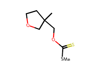 CSC(=S)OCC1(C)CCOC1